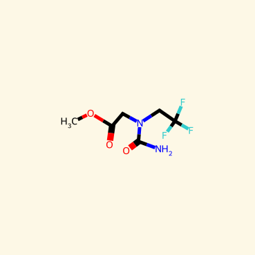 COC(=O)CN(CC(F)(F)F)C(N)=O